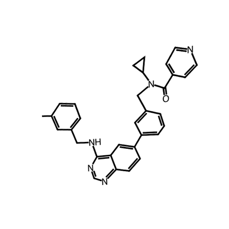 Cc1cccc(CNc2ncnc3ccc(-c4cccc(CN(C(=O)c5ccncc5)C5CC5)c4)cc23)c1